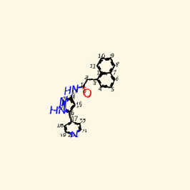 O=C(Cc1cccc2ccccc12)Nc1cc(-c2ccncc2)[nH]n1